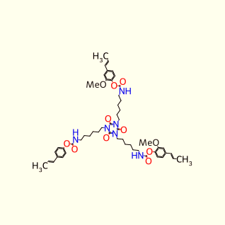 CC=Cc1ccc(OC(=O)NCCCCCCn2c(=O)n(CCCCCCNC(=O)Oc3ccc(C=CC)cc3OC)c(=O)n(CCCCCCNC(=O)Oc3ccc(C=CC)cc3OC)c2=O)cc1